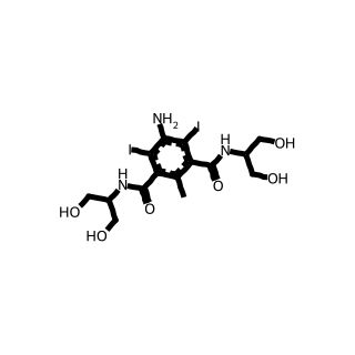 Cc1c(C(=O)NC(CO)CO)c(I)c(N)c(I)c1C(=O)NC(CO)CO